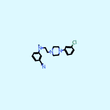 CN(CCN1CCN(c2cccc(Cl)c2)CC1)c1cccc(C#N)c1